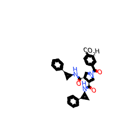 O=C(O)c1ccc(C(=O)N2C[C@@H](C(=O)N[C@H]3C[C@@H]3c3ccccc3)[C@H](C(=O)N[C@H]3C[C@@H]3c3ccccc3)C2)cc1